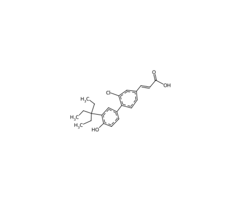 CCC(CC)(CC)c1cc(-c2ccc(/C=C/C(=O)O)cc2Cl)ccc1O